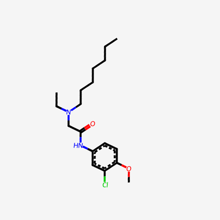 CCCCCCCN(CC)CC(=O)Nc1ccc(OC)c(Cl)c1